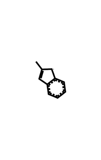 CC1=Cc2ccccc2[CH]1